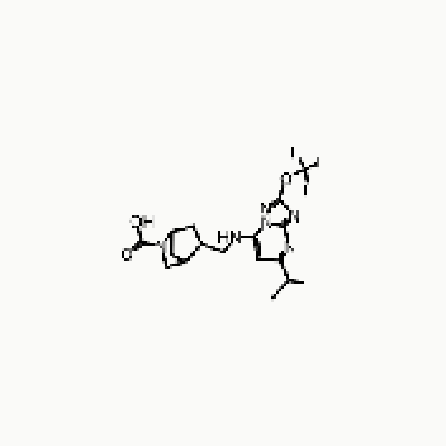 CC(C)c1cc(NCC2CC3CC2CN3C(=O)O)n2nc(OC(F)(F)F)nc2n1